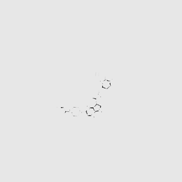 C=CC(=O)N1CCN(c2cnc3[nH]cc(C(=O)NCc4ccc(CC)c(C)n4)c3n2)CC1